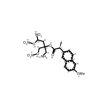 COc1ccc2cc([C@H](C)C(=O)OC(CN)(CO[N+](=O)[O-])CC(O[N+](=O)[O-])[N+](=O)[O-])ccc2c1